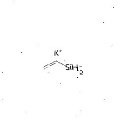 C=C[SiH2-].[K+]